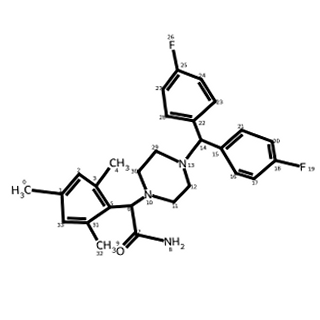 Cc1cc(C)c(C(C(N)=O)N2CCN(C(c3ccc(F)cc3)c3ccc(F)cc3)CC2)c(C)c1